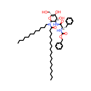 CCCCCCCCCCCCCCCCCC(=O)N(CCCCCCCCCCCC)[C@@H]1O[C@H](CO)[C@@H](O)[C@H](O)[C@H]1NC(=O)[C@H](Cc1ccccc1)NC(=O)OCc1ccccc1